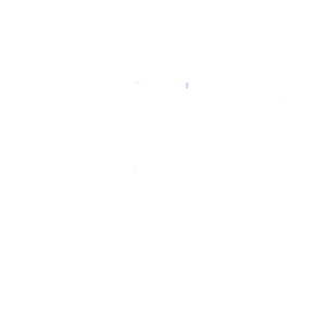 Nc1c(NC(=O)OC2CC2)ccc(NCc2ccc(C(F)(F)F)cc2)c1F